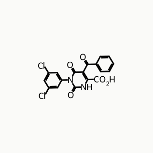 O=C(O)c1[nH]c(=O)n(-c2cc(Cl)cc(Cl)c2)c(=O)c1C(=O)c1ccccc1